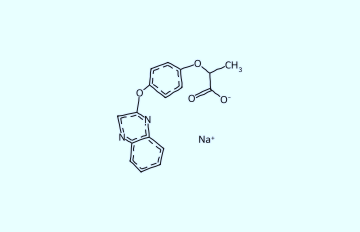 CC(Oc1ccc(Oc2cnc3ccccc3n2)cc1)C(=O)[O-].[Na+]